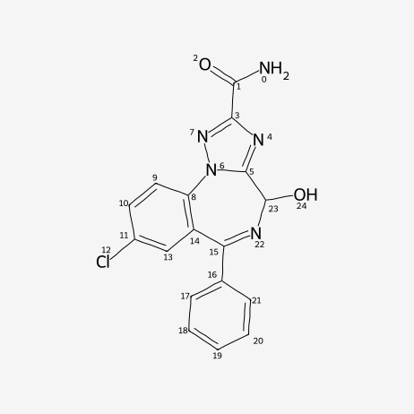 NC(=O)c1nc2n(n1)-c1ccc(Cl)cc1C(c1ccccc1)=NC2O